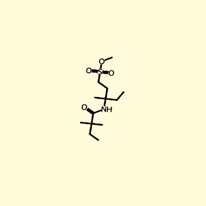 CCC(C)(CCS(=O)(=O)OC)NC(=O)C(C)(C)CC